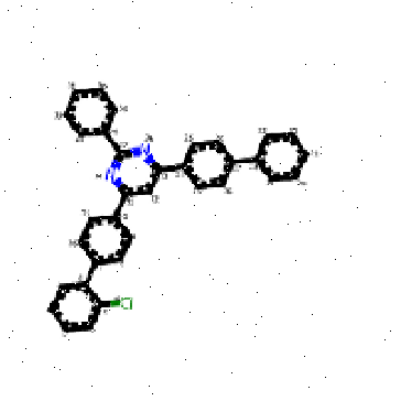 Clc1ccccc1-c1ccc(-c2cc(-c3ccc(-c4ccccc4)cc3)nc(-c3ccccc3)n2)cc1